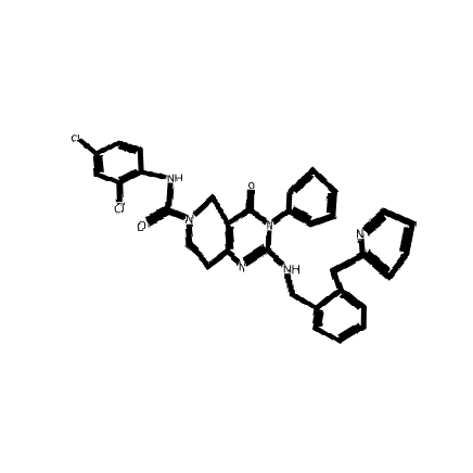 O=C(Nc1ccc(Cl)cc1Cl)N1CCc2nc(NCc3ccccc3Cc3ccccn3)n(-c3ccccc3)c(=O)c2C1